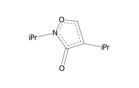 CC(C)c1con(C(C)C)c1=O